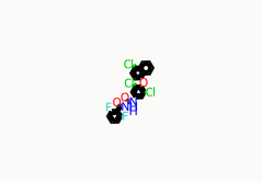 O=C(NC(=O)c1c(F)cccc1F)Nc1cc(Cl)c(Oc2ccc(Cl)c3c2CCCC3)c(Cl)c1